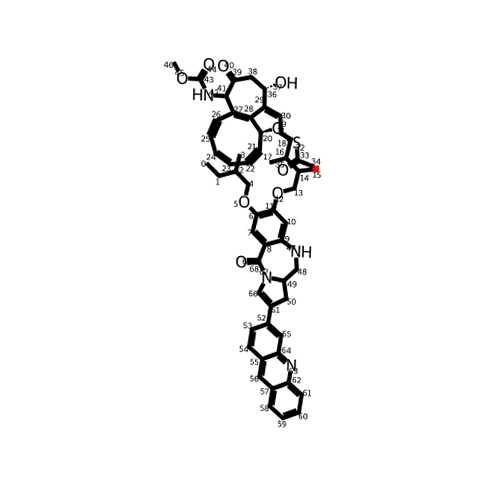 CCC(C)COc1cc2c(cc1OCC(C)C(C)CO[C@H]1C#C/C=C\C#CC3=C1/C(=C\CSC(C)=O)[C@@H](O)CC(=O)C3NC(=O)OC)NCC1CC(c3ccc4cc5ccccc5nc4c3)=CN1C2=O